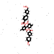 COc1ccc(-c2ccc(C(=O)Oc3cc(C)cc(OC)c3-c3c(OC)cc(C)cc3OC(=O)c3ccc(-c4ccc(CO)cc4)cc3)cc2)cc1